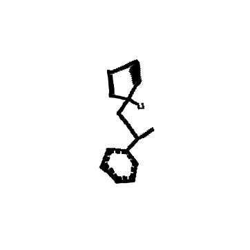 [Li][C]1(CC(C)c2ccccc2)C=CC=C1